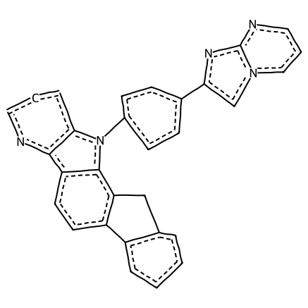 c1ccc2c(c1)Cc1c-2ccc2c3ncccc3n(-c3ccc(-c4cn5cccnc5n4)cc3)c12